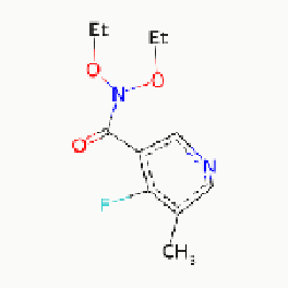 CCON(OCC)C(=O)c1cncc(C)c1F